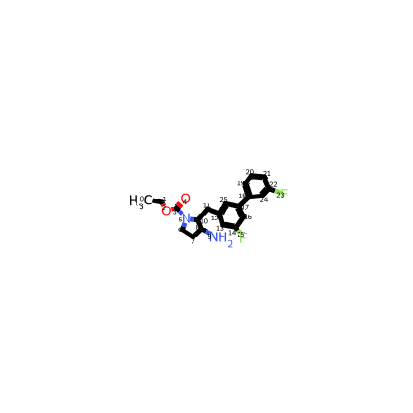 CCOC(=O)N1CCC(N)C1Cc1cc(F)cc(-c2cccc(F)c2)c1